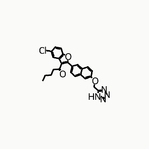 CCCCC(=O)c1c(-c2ccc3cc(OCc4nnn[nH]4)ccc3c2)oc2ccc(Cl)cc12